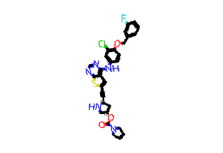 O=C(O[C@@H]1CN[C@@H](C#Cc2cc3c(Nc4ccc(OCc5cccc(F)c5)c(Cl)c4)ncnc3s2)C1)N1CCCC1